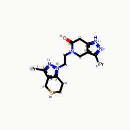 CC(C)c1n[nH]c2c1CN(CCn1nc(C(C)C)c3c1CCSC3)C(=O)C2